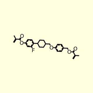 C=C(C)C(=O)OCc1ccc(OCC2CCC(c3ccc(OC(=O)C(=C)C)cc3F)CC2)cc1